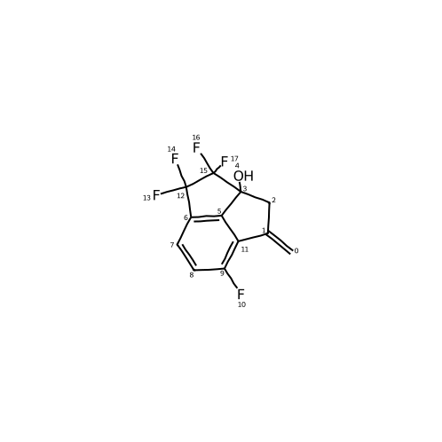 C=C1CC2(O)c3c(ccc(F)c31)C(F)(F)C2(F)F